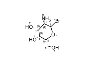 N[C@H]1C(Br)O[C@H](CO)[C@H](O)[C@@H]1O